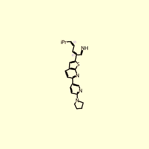 CC(C)/C=C\C=C(/C=N)c1cc2ccc(-c3ccc(N4CCCC4)nc3)nc2s1